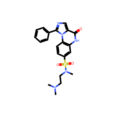 CN(C)CCN(C)S(=O)(=O)c1ccc2c(c1)[nH]c(=O)c1cnc(-c3ccccc3)n12